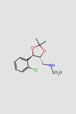 CC1(C)O[C@H](c2ccccc2Cl)[C@@H](CNS(=O)(=O)O)O1